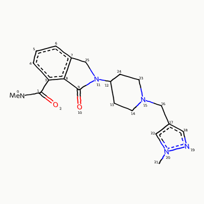 CNC(=O)c1cccc2c1C(=O)N(C1CCN(Cc3cnn(C)c3)CC1)C2